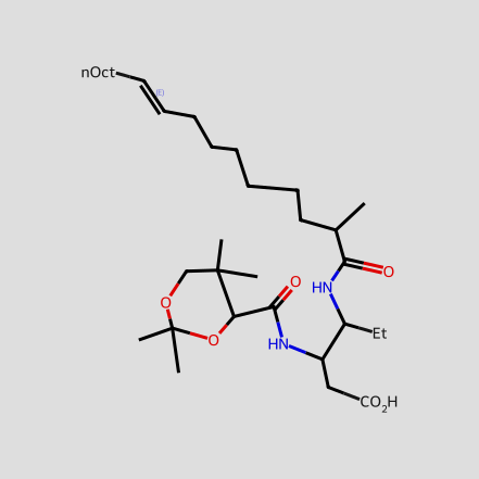 CCCCCCCC/C=C/CCCCCCC(C)C(=O)NC(CC)C(CC(=O)O)NC(=O)C1OC(C)(C)OCC1(C)C